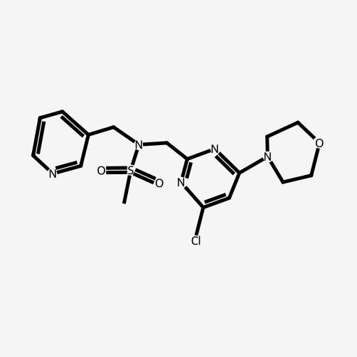 CS(=O)(=O)N(Cc1cccnc1)Cc1nc(Cl)cc(N2CCOCC2)n1